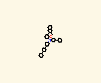 c1ccc(-c2ccc(-c3ccc(N(c4ccc(-c5ccccc5)cc4)c4cccc5c4OCc4cc6ccccc6cc4-5)cc3)cc2)cc1